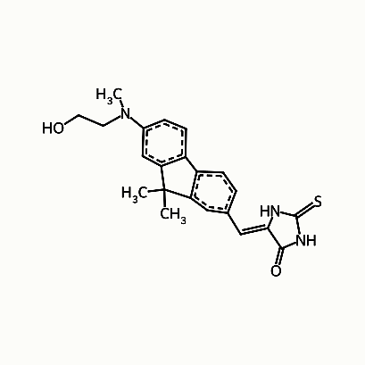 CN(CCO)c1ccc2c(c1)C(C)(C)c1cc(/C=C3\NC(=S)NC3=O)ccc1-2